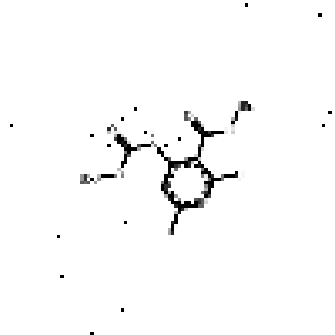 Cc1cc(NC(=O)OC(C)(C)C)c(C(=O)OC(C)(C)C)c(Cl)n1